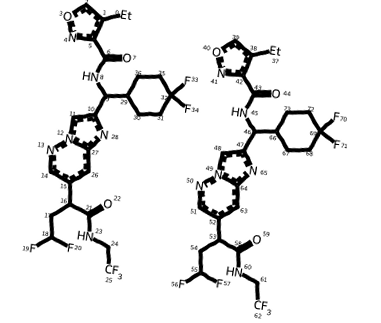 CCc1conc1C(=O)NC(c1cn2ncc(C(CC(F)F)C(=O)NCC(F)(F)F)cc2n1)C1CCC(F)(F)CC1.CCc1conc1C(=O)NC(c1cn2ncc(C(CC(F)F)C(=O)NCC(F)(F)F)cc2n1)C1CCC(F)(F)CC1